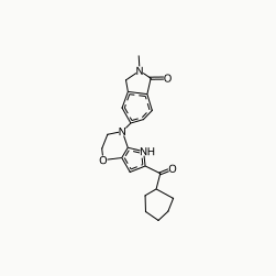 CN1Cc2cc(N3CCOc4cc(C(=O)C5CCCCC5)[nH]c43)ccc2C1=O